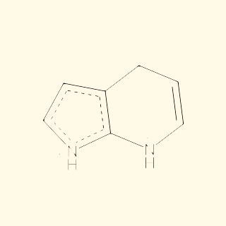 C1=CNc2[nH]ccc2C1